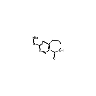 CC(C)(C)Sc1ncc2c(n1)CCCNC2=O